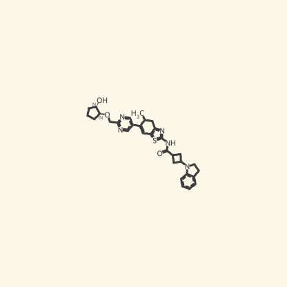 CC1Cc2nc(NC(=O)C3CC(N4CCc5ccccc54)C3)sc2C=C1c1cnc(CO[C@H]2CCC[C@@H]2O)nc1